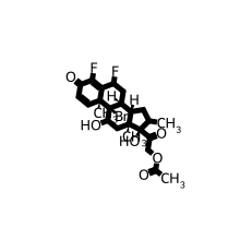 CC(=O)OCC(=O)[C@@]1(O)C(C)C[C@H]2[C@@H]3CC(F)C4=C(F)C(=O)C=C[C@]4(C)[C@@]3(Br)C(O)C[C@@]21C